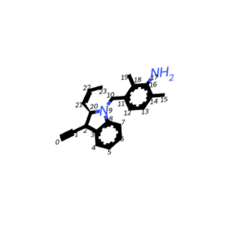 C#CC1c2ccccc2N(Cc2ccc(C)c(N)c2C)[C@@H]1/C=C\C